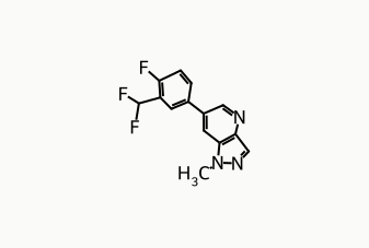 Cn1ncc2ncc(-c3ccc(F)c(C(F)F)c3)cc21